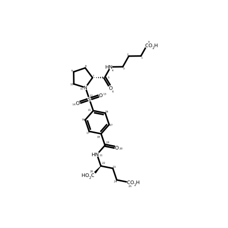 O=C(O)CCCNC(=O)[C@H]1CCCN1S(=O)(=O)c1ccc(C(=O)N[C@@H](CCC(=O)O)C(=O)O)cc1